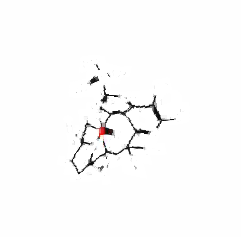 CCS(=O)(=O)c1nc2c3c(nc(Cl)c(F)c3n1)C(F)(F)C[C@@H]1[C@@H]3CC[C@H](CN21)N3C(=O)OC(C)(C)C